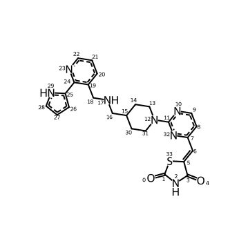 O=C1NC(=O)C(=Cc2ccnc(N3CCC(CNCc4cccnc4-c4ccc[nH]4)CC3)n2)S1